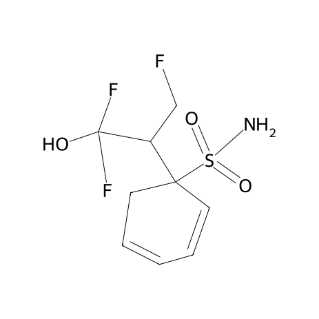 NS(=O)(=O)C1(C(CF)C(O)(F)F)C=CC=CC1